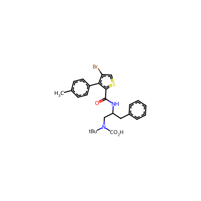 Cc1ccc(-c2c(Br)csc2C(=O)NC(Cc2ccccc2)CN(C(=O)O)C(C)(C)C)cc1